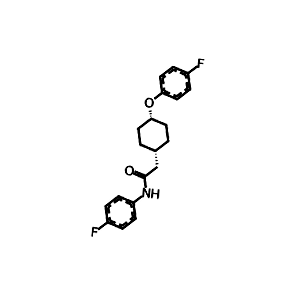 O=C(C[C@H]1CC[C@@H](Oc2ccc(F)cc2)CC1)Nc1ccc(F)cc1